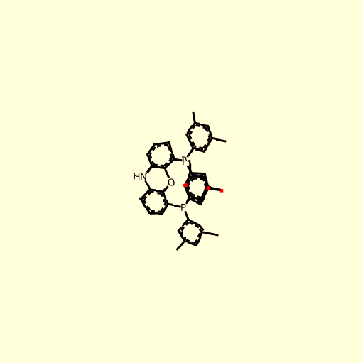 Cc1cc(C)cc(P(c2cc(C)cc(C)c2)c2cccc3c2Oc2c(cccc2P(c2cc(C)cc(C)c2)c2cc(C)cc(C)c2)N3)c1